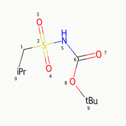 CC(C)CS(=O)(=O)NC(=O)OC(C)(C)C